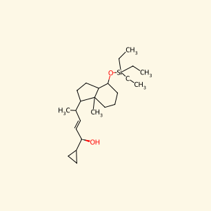 CC[Si](CC)(CC)OC1CCCC2(C)C(C(C)C=C[C@@H](O)C3CC3)CCC12